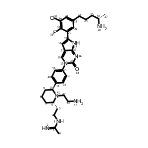 CC(=N)NCC[C@@H]1CCC[C@@H](c2ccc(-n3cc4cc(-c5cc(CCC[C@H](C)N)cc(Cl)c5F)[nH]c4nc3=O)cc2)N1CCN